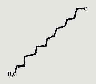 CC=CCCCCCCCCCCC[O]